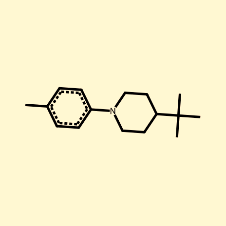 Cc1ccc(N2CCC(C(C)(C)C)CC2)cc1